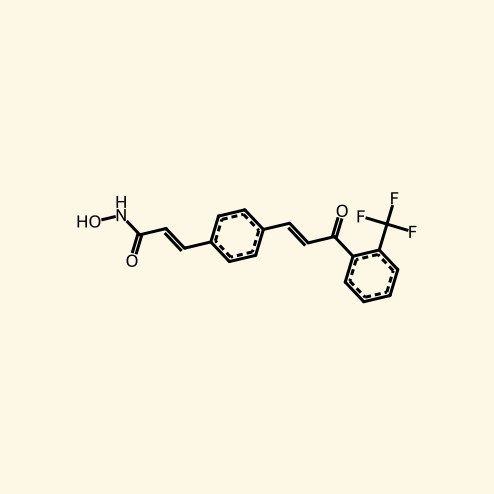 O=C(C=Cc1ccc(C=CC(=O)c2ccccc2C(F)(F)F)cc1)NO